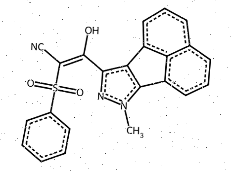 Cn1nc(C(O)=C(C#N)S(=O)(=O)c2ccccc2)c2c1-c1cccc3cccc-2c13